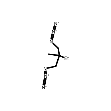 CCC(C)(CN=[N+]=[N-])CN=[N+]=[N-]